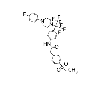 CCS(=O)(=O)c1ccc(CC(=O)Nc2ccc(C(N3CCN(c4ccc(F)cc4)CC3)(C(F)(F)F)C(F)(F)F)cc2)cc1